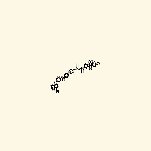 N#Cc1ccc(OC2CCC(NC(=O)c3ccc(N4CCC(CCNCCNc5ccc6c(c5)C(=O)N(C5CCC(=O)NC5=O)C6=O)CC4)cc3)CC2)c2cccnc12